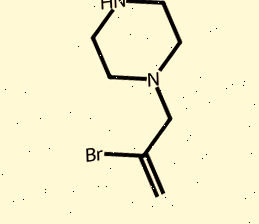 C=C(Br)CN1CCNCC1